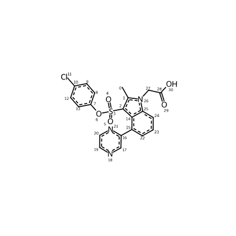 Cc1c(S(=O)(=O)Oc2ccc(Cl)cc2)c2c(-c3cnccn3)cccc2n1CC(=O)O